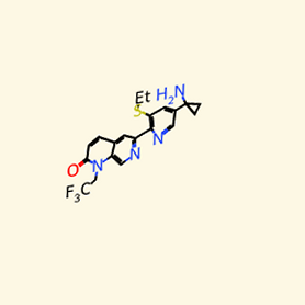 CCSc1cc(C2(N)CC2)cnc1-c1cc2ccc(=O)n(CC(F)(F)F)c2cn1